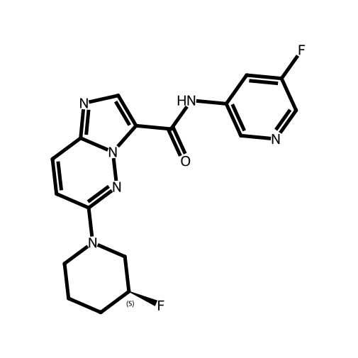 O=C(Nc1cncc(F)c1)c1cnc2ccc(N3CCC[C@H](F)C3)nn12